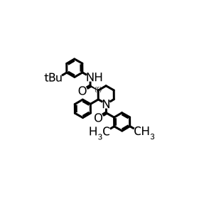 Cc1ccc(C(=O)N2CCC[C@H](C(=O)Nc3cccc(C(C)(C)C)c3)C2c2ccccc2)c(C)c1